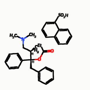 CCC(=O)O[C@](Cc1ccccc1)(c1ccccc1)[C@H](C)CN(C)C.O=S(=O)(O)c1cccc2ccccc12